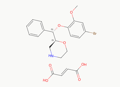 COc1cc(Br)ccc1O[C@@H](c1ccccc1)[C@@H]1CNCCO1.O=C(O)C=CC(=O)O